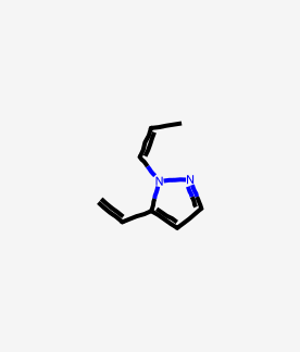 C=Cc1ccnn1/C=C\C